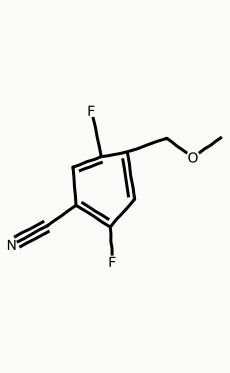 COCc1cc(F)c(C#N)cc1F